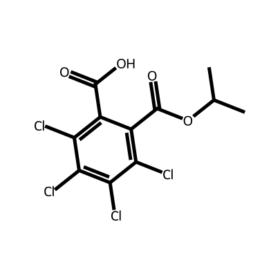 CC(C)OC(=O)c1c(Cl)c(Cl)c(Cl)c(Cl)c1C(=O)O